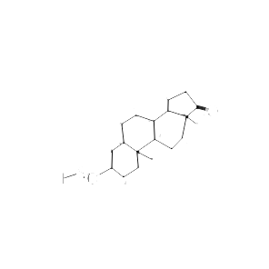 CC12CCC3C(CCC4CC(OSI)CCC43C)C1CCC2=O